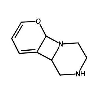 C1=COC2C(=C1)C1CNCCN12